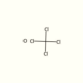 ClC(Cl)(Cl)Cl.[O]